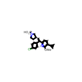 COc1nc(C(=C[C@H]2CCN(C(=O)O)C2)c2ccc(Cl)cc2)ccc1C1CC1